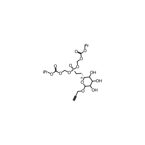 C#CCOC1O[C@H](CCP(=O)(OCOC(=O)OC(C)C)OCOC(=O)OC(C)C)C(O)C(O)C1O